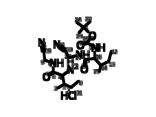 CCC(C)C(N)C(=O)NCC#N.CCC(C)C(NC(=O)OC(C)(C)C)C(=O)NCC#N.Cl